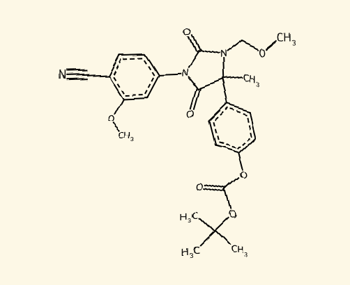 COCN1C(=O)N(c2ccc(C#N)c(OC)c2)C(=O)C1(C)c1ccc(OC(=O)OC(C)(C)C)cc1